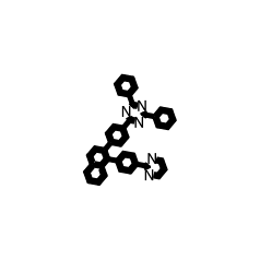 c1ccc(-c2nc(-c3ccccc3)nc(-c3ccc(-c4ccc5ccccc5c4-c4ccc(-c5ncccn5)cc4)cc3)n2)cc1